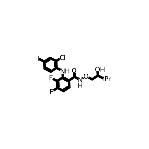 CC(C)C(O)CONC(=O)c1ccc(F)c(F)c1Nc1ccc(I)cc1Cl